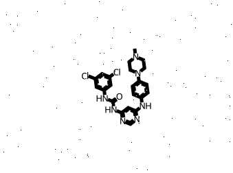 CN1CCN(c2ccc(Nc3cc(NC(=O)Nc4cc(Cl)cc(Cl)c4)ncn3)cc2)CC1